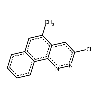 Cc1cc2ccccc2c2nnc(Cl)cc12